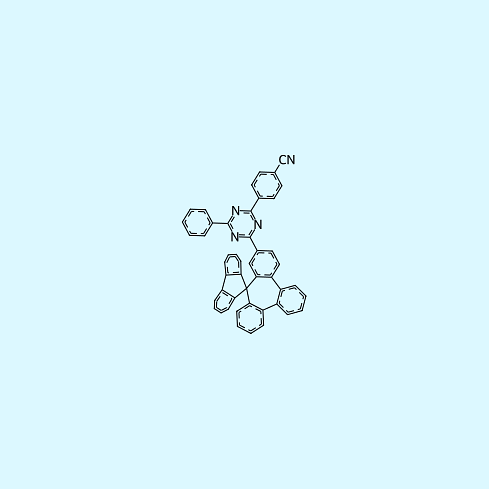 N#Cc1ccc(-c2nc(-c3ccccc3)nc(-c3ccc4c(c3)C3(c5ccccc5-c5ccccc5-4)c4ccccc4-c4ccccc43)n2)cc1